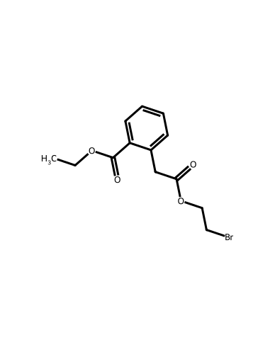 CCOC(=O)c1ccccc1CC(=O)OCCBr